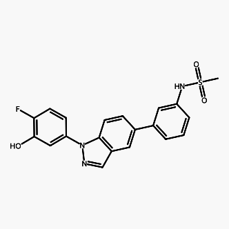 CS(=O)(=O)Nc1cccc(-c2ccc3c(cnn3-c3ccc(F)c(O)c3)c2)c1